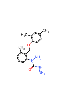 Cc1ccc(OCc2c(C)cccc2N(N)C(=O)NN)c(C)c1